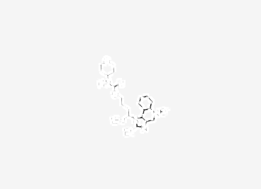 CCc1nc2c[n+]([O-])c3ccccc3c2n1C(CCCOC(=O)NC1CCOCC1)C(C)(C)C